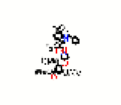 COC(=O)c1cc(OC)c(OC2CCN(CC(O)(c3cn(Cc4ccccc4)c4cc([N+](=O)[O-])ccc34)C(F)(F)F)CC2)c(OC)c1